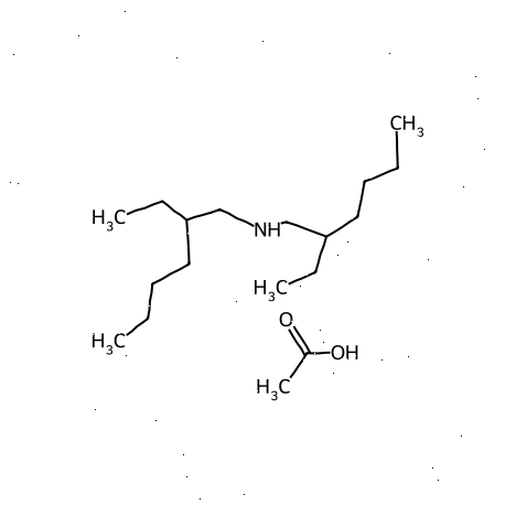 CC(=O)O.CCCCC(CC)CNCC(CC)CCCC